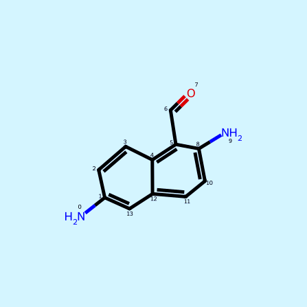 Nc1ccc2c(C=O)c(N)ccc2c1